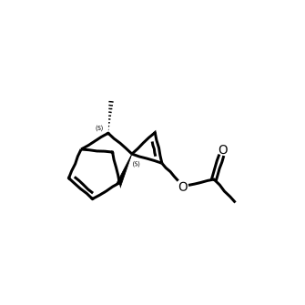 CC(=O)OC1=C[C@]12C1C=CC(C1)[C@@H]2C